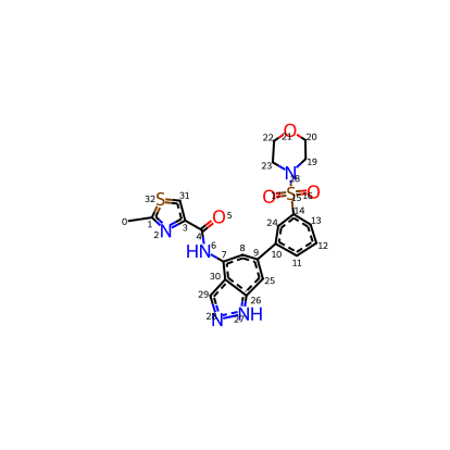 Cc1nc(C(=O)Nc2cc(-c3cccc(S(=O)(=O)N4CCOCC4)c3)cc3[nH]ncc23)cs1